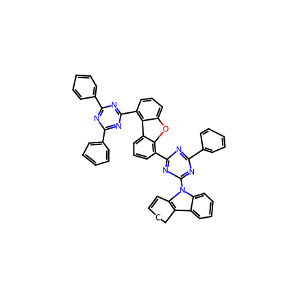 C1=Cc2c(c3ccccc3n2-c2nc(-c3ccccc3)nc(-c3cccc4c3oc3cccc(-c5nc(-c6ccccc6)nc(-c6ccccc6)n5)c34)n2)CC1